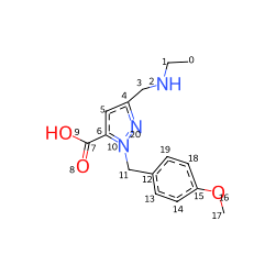 CCNCc1cc(C(=O)O)n(Cc2ccc(OC)cc2)n1